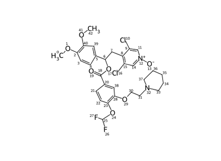 COc1ccc(C(Cc2c(Cl)c[n+]([O-])cc2Cl)OC(=O)c2ccc(OC(F)F)c(OCCN3CCCCC3)c2)cc1OC